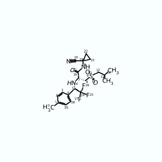 Cc1ccc([C@H](N[C@@H](CS(=O)(=O)CC(C)C)C(=O)NC2(C#N)CC2)C(F)(F)F)cc1